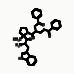 NC(Cc1c[nH]c2ccccc12)C(=O)C1(C(=O)O)CCCN1C(=O)C(CSC(=O)c1ccccc1)SC(=O)c1ccccc1